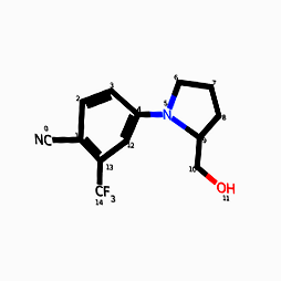 N#Cc1ccc(N2CCCC2CO)cc1C(F)(F)F